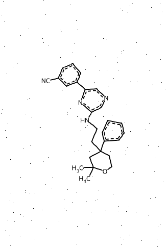 CC1(C)CC(CCNc2cncc(-c3cccc(C#N)c3)n2)(c2ccccc2)CCO1